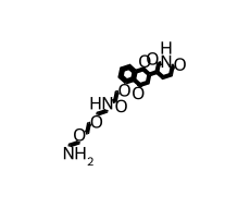 NCCOCCOCCNC(=O)COc1cccc2c1C(=O)CC(C1CCC(=O)NC1=O)C2=O